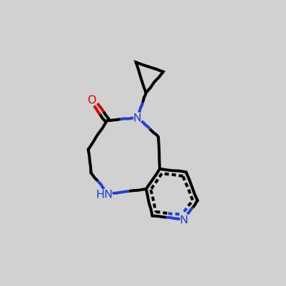 O=C1CCNc2cnccc2CN1C1CC1